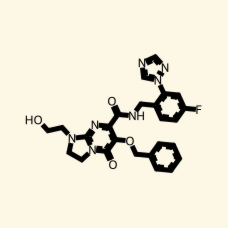 O=C(NCc1ccc(F)cc1-n1cncn1)c1nc2n(c(=O)c1OCc1ccccc1)CCN2CCO